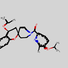 Cc1nc(C(=O)N2CCC3(CC2)C[C@H](OC(C)C)c2ccccc2O3)ccc1OC(C)C